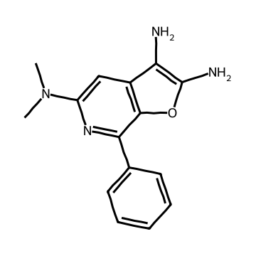 CN(C)c1cc2c(N)c(N)oc2c(-c2ccccc2)n1